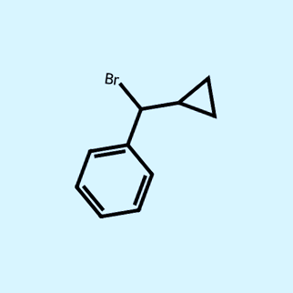 BrC(c1ccccc1)C1CC1